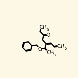 C=C/C=C(/CC(=O)CC)C(=C)OCC1C=CC=CC1